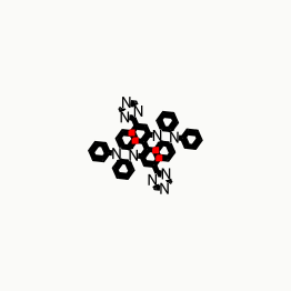 c1ccc(N2c3ccccc3N(c3cc(-c4ncncn4)ccc3-c3ccc(-c4ncncn4)cc3N3c4ccccc4N(c4ccccc4)c4ccccc43)c3ccccc32)cc1